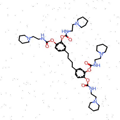 O=C(NCCN1CCCCC1)Oc1ccc(CCCCc2ccc(OC(=O)NCCN3CCCCC3)c(OC(=O)NCCN3CCCCC3)c2)cc1OC(=O)NCCN1CCCCC1